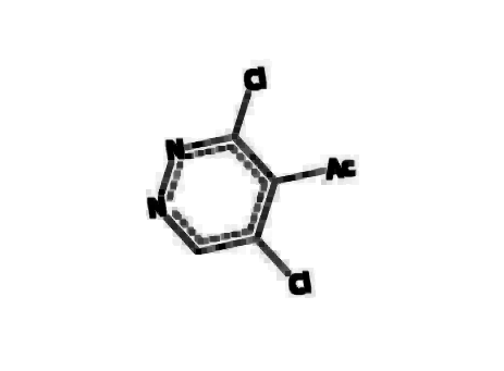 CC(=O)c1c(Cl)cnnc1Cl